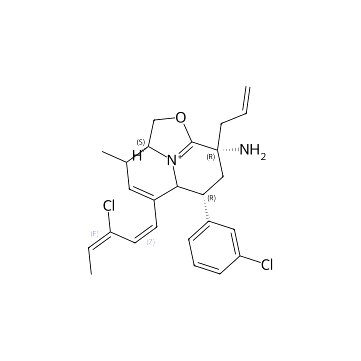 C=CC[C@@]1(N)C[C@H](c2cccc(Cl)c2)C2C(/C=C\C(Cl)=C/C)=CC(C)[C@H]3COC1=[N+]23